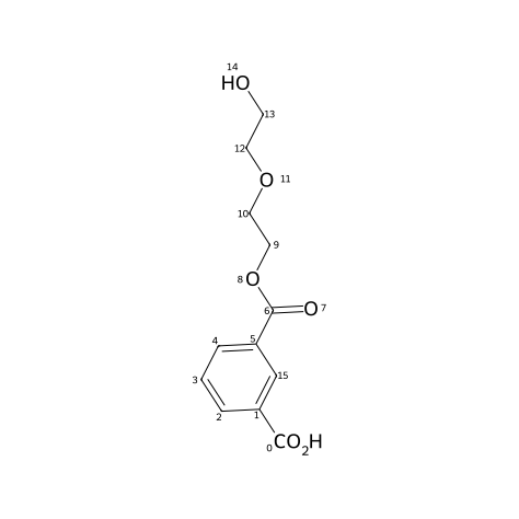 O=C(O)c1cccc(C(=O)OCCOCCO)c1